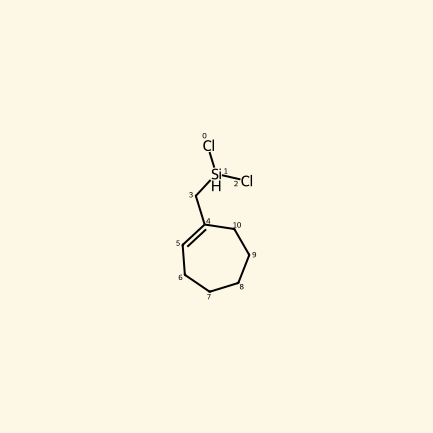 Cl[SiH](Cl)CC1=CCCCCC1